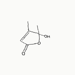 CC1=CC(=O)OC1(C)O